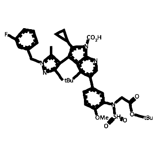 COc1ccc(-c2cnc3c(c(-c4c(C)nn(Cc5cccc(F)c5)c4C)c(C4CC4)n3C(=O)O)c2C(C)(C)C)cc1N(CC(=O)OC(C)(C)C)[SH](=O)=O